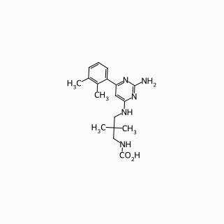 Cc1cccc(-c2cc(NCC(C)(C)CNC(=O)O)nc(N)n2)c1C